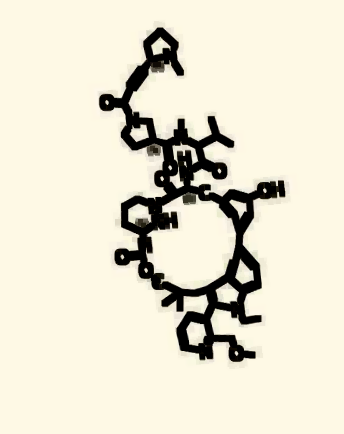 CCn1c(-c2cccnc2COC)c2c3cc(ccc31)-c1cc(O)cc(c1)C[C@H](NC(=O)C(C(C)C)N(C)C(=O)[C@H]1CCN(C(=O)C#C[C@H]3CCCN3C)C1)C(=O)N1CCC[C@H](N1)C(=O)OCC(C)(C)C2